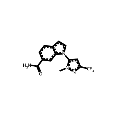 Cn1nc(C(F)(F)F)cc1-n1ccc2ccc(C(N)=O)cc21